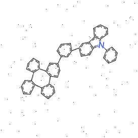 c1ccc(-n2c3ccccc3c3cc(-c4cccc(-c5ccc6c(c5)-c5ccccc5-c5ccccc5-c5ccccc5-6)c4)ccc32)cc1